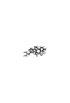 CCN(CC)Cc1nc(-c2ncn3c2[C@@H]2CCN2C(=O)c2c-3ccc(F)c2Cl)no1